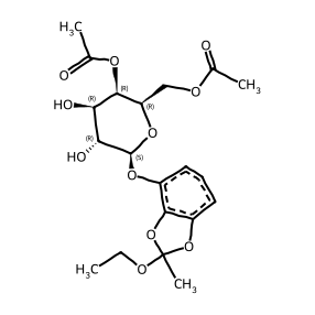 CCOC1(C)Oc2cccc(O[C@@H]3O[C@H](COC(C)=O)[C@H](OC(C)=O)[C@H](O)[C@H]3O)c2O1